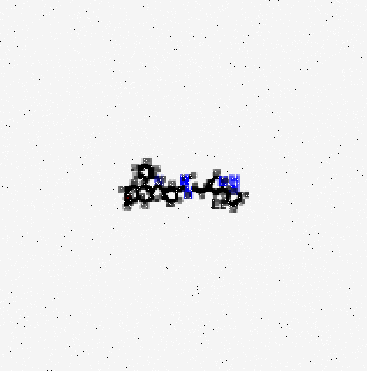 C=N/C(=N\C=C\C1C=C(C2=C(CC)C=CCN2)N=CC1)C1C=C(c2nc3ccccc3c3c2CCC2=C3C=CC3C[C@H]23)C=CC1